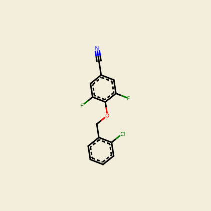 N#Cc1cc(F)c(OCc2ccccc2Cl)c(F)c1